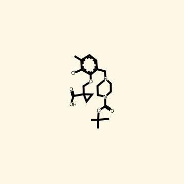 Cc1ccc(CN2CCN(C(=O)OC(C)(C)C)CC2)c(OCC2(C(=O)O)CC2)c1Cl